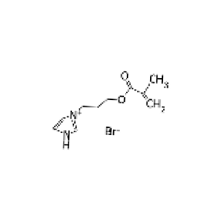 C=C(C)C(=O)OCCC[n+]1cc[nH]c1.[Br-]